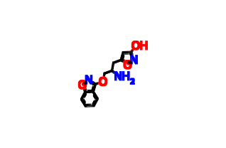 NC(COc1noc2ccccc12)Cc1cc(O)no1